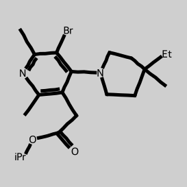 CCC1(C)CCN(c2c(Br)c(C)nc(C)c2CC(=O)OC(C)C)CC1